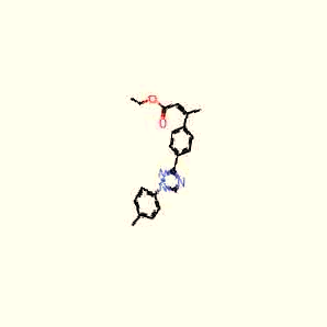 CCOC(=O)/C=C(/C)c1ccc(-c2ncn(-c3ccc(C)cc3)n2)cc1